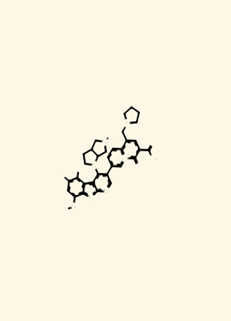 CNc1cc(F)c(F)c2c1[nH]c1ncc(-c3ccc4c(CN5CCCC5)cc(C(=O)O)c(=O)n4c3)c(N3CCC4CN(C)CC43)c12